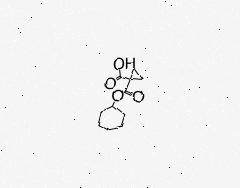 O=C(O)C1(C(=O)OC2CCCCC2)CC1